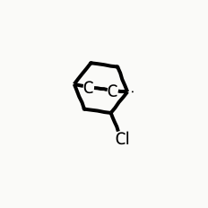 ClC1CC2CC[C]1CC2